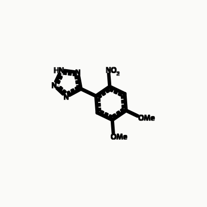 COc1cc(-c2nn[nH]n2)c([N+](=O)[O-])cc1OC